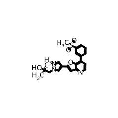 CC(C)(O)Cn1cc(-c2cc3nccc(-c4cccc(S(C)(=O)=O)c4)c3o2)cn1